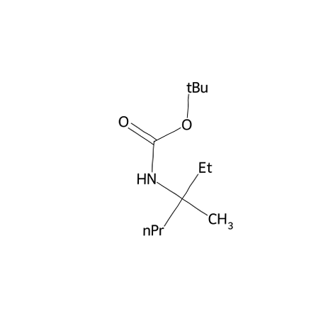 CCCC(C)(CC)NC(=O)OC(C)(C)C